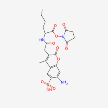 CCCCC(NC(=O)Cc1c(C)c2cc(S(=O)(=O)O)c(N)cc2oc1=O)C(=O)ON1C(=O)CCC1=O